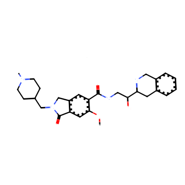 CCOc1cc2c(cc1C(=O)NCC(O)C1Cc3ccccc3CN1)CN(CC1CCN(C)CC1)C2=O.Cl